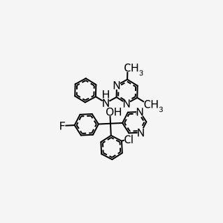 Cc1cc(C)nc(Nc2ccccc2)n1.OC(c1ccc(F)cc1)(c1cncnc1)c1ccccc1Cl